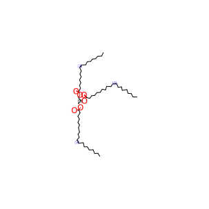 CCCCCCCC/C=C\CCCCCCCCCC(=O)OC[C@@H](COC(=O)CCCCCCC/C=C\CCCCCCCC)OC(=O)CCCCCCCCC/C=C\CCCCCCCC